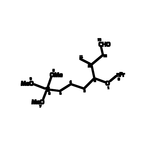 CCCOC(CCC[Si](OC)(OC)OC)C(C)CC=O